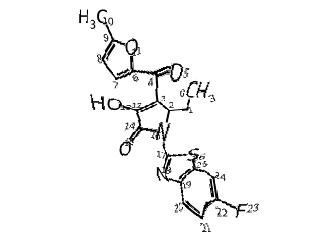 CCC1C(C(=O)c2ccc(C)o2)=C(O)C(=O)N1c1nc2ccc(F)cc2s1